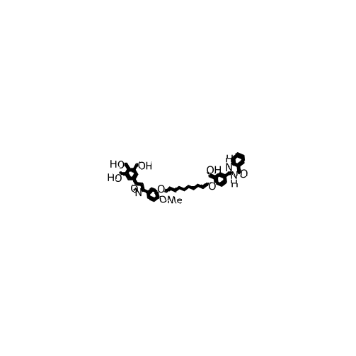 COc1ccc(C2=NOC(c3cc(CO)c(CO)c(CO)c3)C2)cc1OCCCCCCCCCCOc1ccc(C2NC(=O)c3ccccc3N2)cc1CO